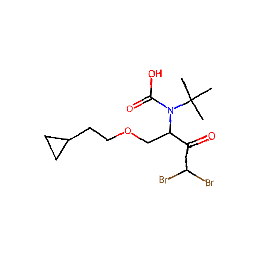 CC(C)(C)N(C(=O)O)C(COCCC1CC1)C(=O)C(Br)Br